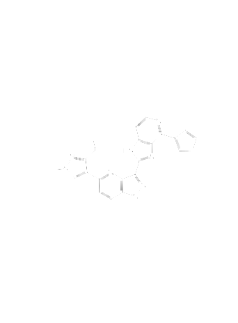 Cn1cc(-c2ccc3[nH]nc(-c4nc5c(-c6ccoc6)nccc5[nH]4)c3n2)c(CO)n1